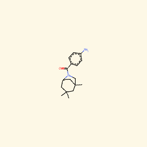 CC1(C)CC2CC(C)(CN2C(=O)c2ccc(N)cc2)C1